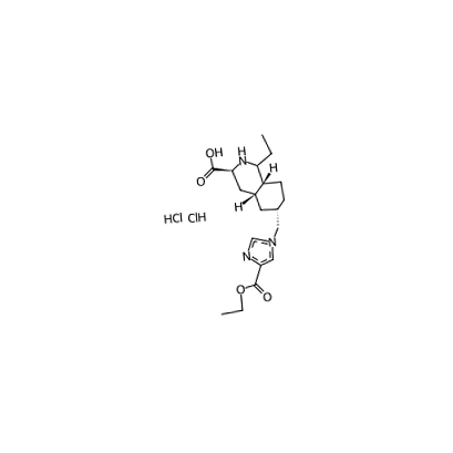 CCOC(=O)c1cn(C[C@H]2CC[C@H]3C(CC)N[C@H](C(=O)O)C[C@H]3C2)cn1.Cl.Cl